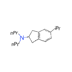 CCCN(CCC)C1Cc2ccc(C(C)C)cc2C1